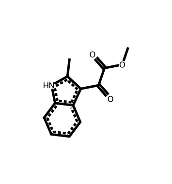 COC(=O)C(=O)c1c(C)[nH]c2ccccc12